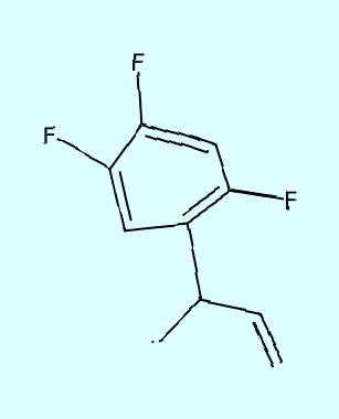 [CH2]C(C=C)c1cc(F)c(F)cc1F